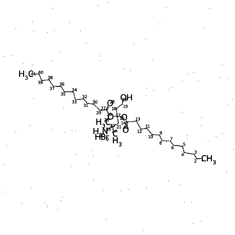 Br.CCCCCCCCCCCCCC(=O)OC(CCO)(CC(C)(C)N)OC(=O)CCCCCCCCCCCCC